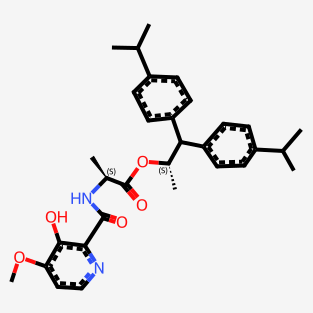 COc1ccnc(C(=O)N[C@@H](C)C(=O)O[C@@H](C)C(c2ccc(C(C)C)cc2)c2ccc(C(C)C)cc2)c1O